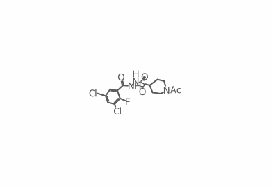 CC(=O)N1CCC(S(=O)(=O)NNC(=O)c2cc(Cl)cc(Cl)c2F)CC1